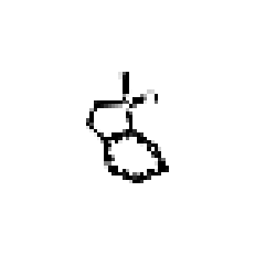 C=S1(=O)CCc2ccccc21